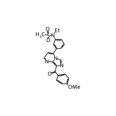 CCN(c1cccc(-c2ccnc3c(C(=O)c4ccc(OC)cc4)ncn23)c1)S(C)(=O)=O